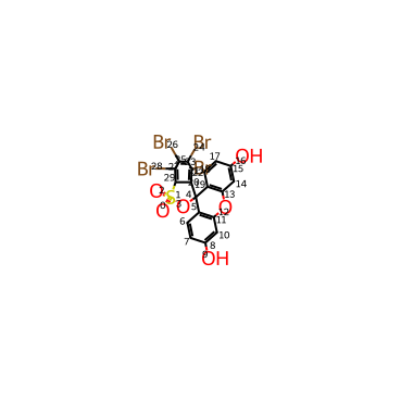 O=S1(=O)OC2(c3ccc(O)cc3Oc3cc(O)ccc32)c2c(Br)c(Br)c(Br)c(Br)c21